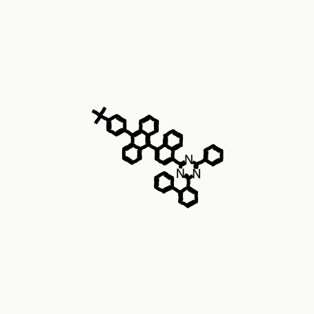 CC(C)(C)c1ccc(-c2c3ccccc3c(-c3ccc(-c4nc(-c5ccccc5)nc(-c5ccccc5-c5ccccc5)n4)c4ccccc34)c3ccccc23)cc1